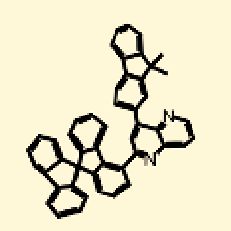 CC1(C)c2ccccc2-c2ccc(-c3cc(-c4cccc5c4-c4ccccc4C54c5ccccc5-c5ccccc54)nc4cccnc34)cc21